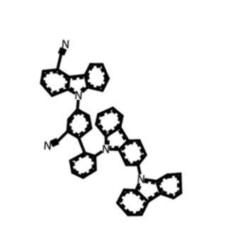 N#Cc1cc(-n2c3ccccc3c3c(C#N)cccc32)ccc1-c1ccccc1-n1c2ccccc2c2ccc(-n3c4ccccc4c4ccccc43)cc21